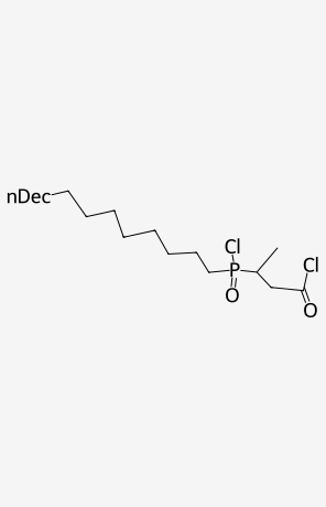 CCCCCCCCCCCCCCCCCCP(=O)(Cl)C(C)CC(=O)Cl